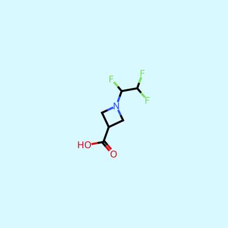 O=C(O)C1CN(C(F)C(F)F)C1